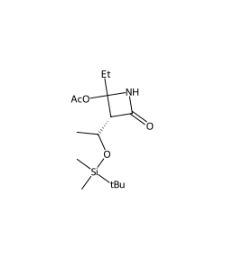 CCC1(OC(C)=O)NC(=O)[C@@H]1C(C)O[Si](C)(C)C(C)(C)C